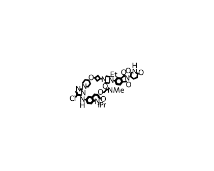 CCc1c(N2CCN(C3CC(OC4CCN(c5ncc(Cl)c(Nc6ccc7c(c6)cc(OCC(=O)NC)c(=O)n7C(C)C)n5)CC4)C3)CC2)ccc2c1C(=O)N([C@@H]1CCC(=O)NC1=O)C2=O